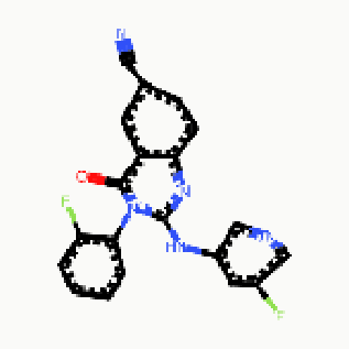 N#Cc1ccc2nc(Nc3cncc(F)c3)n(-c3ccccc3F)c(=O)c2c1